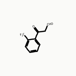 O=CCC(=O)c1ccccc1C(F)(F)F